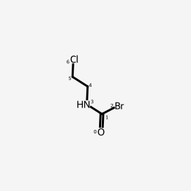 O=C(Br)NCCCl